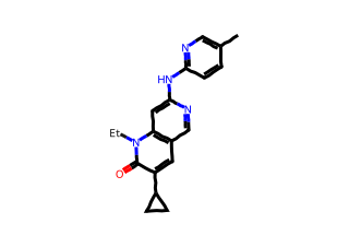 CCn1c(=O)c(C2CC2)cc2cnc(Nc3ccc(C)cn3)cc21